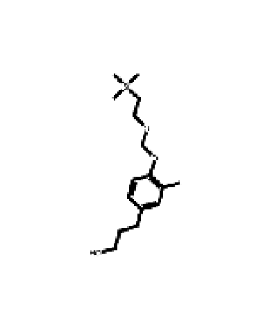 Cc1cc(CCCO)ccc1OCOCC[Si](C)(C)C